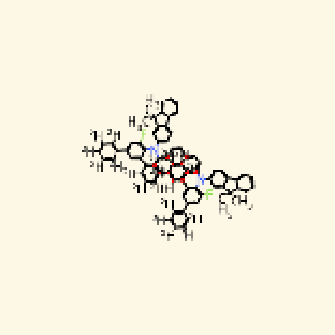 [2H]c1c([2H])c([2H])c(-c2cc(F)c(N(C3=CC=C4C=CC5=C(N(c6ccc7c(c6)C(C)(C)c6ccccc6-7)c6c(F)cc(-c7c([2H])c([2H])c([2H])c([2H])c7[2H])cc6-c6c([2H])c([2H])c([2H])c([2H])c6[2H])C=CC6=CC=C3C4C65)c3ccc4c(c3)C(C)(C)c3ccccc3-4)c(-c3c([2H])c([2H])c([2H])c([2H])c3[2H])c2)c([2H])c1[2H]